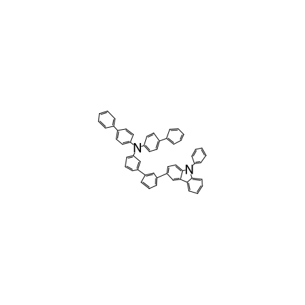 c1ccc(-c2ccc(N(c3ccc(-c4ccccc4)cc3)c3cccc(-c4cccc(-c5ccc6c(c5)c5ccccc5n6-c5ccccc5)c4)c3)cc2)cc1